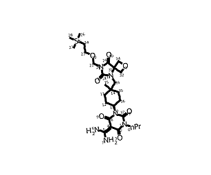 CCCN1C(=O)C(=C(N)N)C(=O)N(C2CCC(C)(CN3C(=O)N(COCC[Si](C)(C)C)C(=O)C34COC4)CC2)C1=O